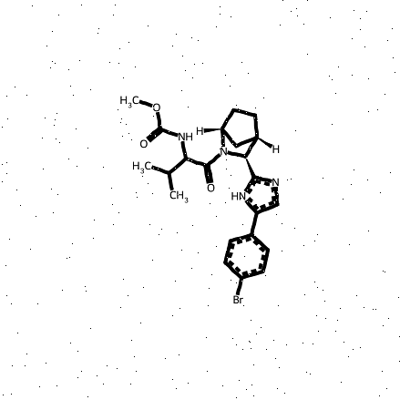 COC(=O)NC(C(=O)N1[C@@H]2CC[C@@H](C2)[C@H]1c1ncc(-c2ccc(Br)cc2)[nH]1)C(C)C